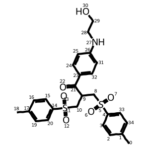 Cc1ccc(S(=O)(=O)CC(CS(=O)(=O)c2ccc(C)cc2)C(=O)c2ccc(NCCO)cc2)cc1